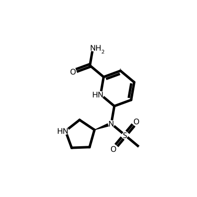 CS(=O)(=O)N(C1C=C[C]=C(C(N)=O)N1)[C@H]1CCNC1